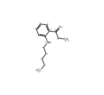 CCCCCNc1ccccc1C(=O)CC